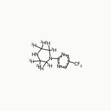 [2H]C1([2H])NC([2H])([2H])C([2H])([2H])N(c2ncc(C(F)(F)F)cn2)C1([2H])[2H]